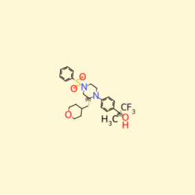 C[C@](O)(c1ccc(N2CCN(S(=O)(=O)c3ccccc3)C[C@H]2CC2CCOCC2)cc1)C(F)(F)F